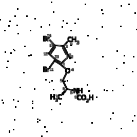 Cc1nc(OC[C@H](C)NC(=O)O)c(Br)cc1Br